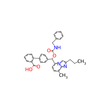 CCCc1cn2c(C(OC(=O)NCc3ccccc3)c3ccc(-c4ccccc4C(=O)O)cc3)ccc(C)c2n1